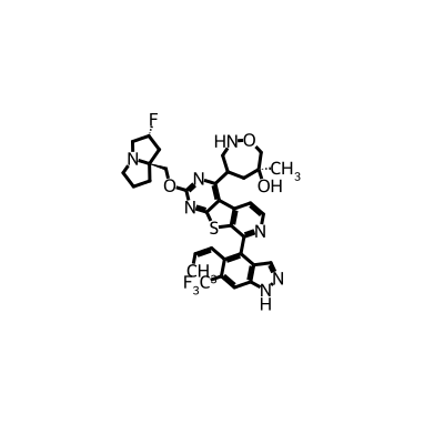 C/C=C\c1c(C(F)(F)F)cc2[nH]ncc2c1-c1nccc2c1sc1nc(OC[C@@]34CCCN3C[C@H](F)C4)nc(C3CNOC[C@@](C)(O)C3)c12